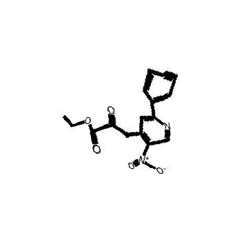 CCOC(=O)C(=O)Cc1cc(-c2ccccc2)ncc1[N+](=O)[O-]